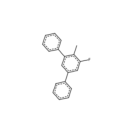 Cc1c(F)cc(-c2ccccc2)cc1-c1ccccc1